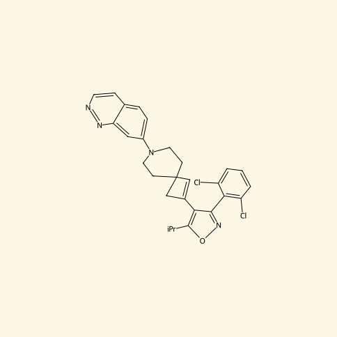 CC(C)c1onc(-c2c(Cl)cccc2Cl)c1C1=CC2(CCN(c3ccc4ccnnc4c3)CC2)C1